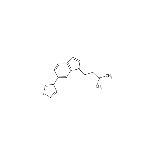 CN(C)CCn1ccc2ccc(-c3ccsc3)cc21